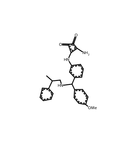 COc1ccc(C(NCC(C)c2ccccc2)c2cccc(Nc3c(N)c(=O)c3=O)c2)cc1